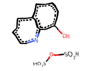 O=S(=O)(O)OS(=O)(=O)O.Oc1cccc2cccnc12